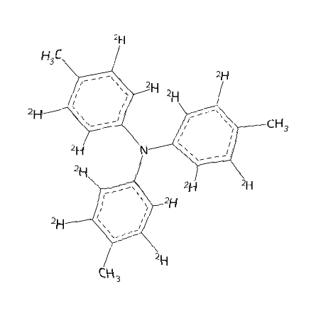 [2H]c1c([2H])c(N(c2c([2H])c([2H])c(C)c([2H])c2[2H])c2c([2H])c([2H])c(C)c([2H])c2[2H])c([2H])c([2H])c1C